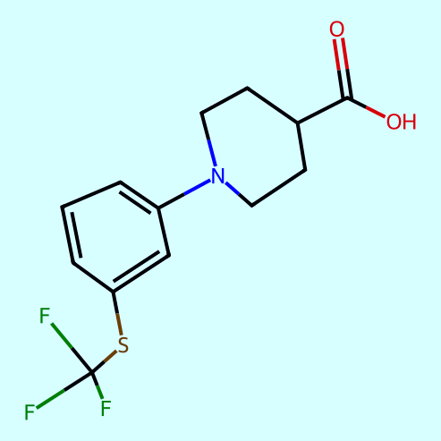 O=C(O)C1CCN(c2cccc(SC(F)(F)F)c2)CC1